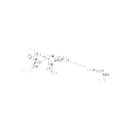 CCCC[C@H](NC(=O)CCC(=O)NCCCOCCOCCOCCCNC(=O)CN1CCN(C(=O)C(CNCC)CNCCN)CC1)C(=O)N=CC(CSCc1cccc(CSC[C@H](NC(=O)[C@H](Cc2ccccc2)NC(=O)[C@H](CCC(=O)O)NC(=O)[C@@H](C)[C@@H](C)O)C(=O)NCCC(=O)O)c1)C(=O)N1CCC[C@H]1C(=O)N1CCC[C@H]1C(N)=O